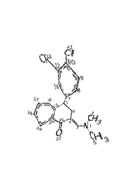 CN(C)/C=C1\CC(c2ccc(Cl)c(Cl)c2)c2ccccc2C1=O